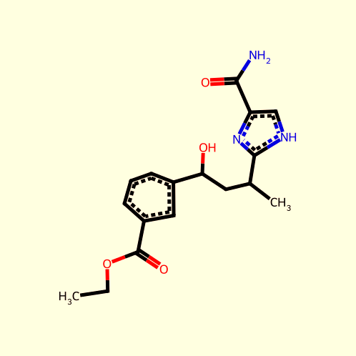 CCOC(=O)c1cccc(C(O)CC(C)c2nc(C(N)=O)c[nH]2)c1